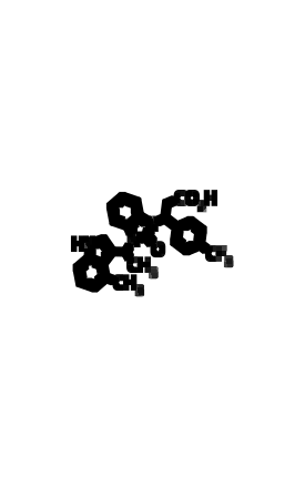 Cc1cccc2[nH]cc(C(C)n3c(=O)n(C(CC(=O)O)c4ccc(C(F)(F)F)cc4)c4ccccc43)c12